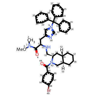 CON(C)C(=O)C(Cc1cn(C(c2ccccc2)(c2ccccc2)c2ccccc2)cn1)NC[C@H]1C[C@@H]2CCCC[C@H]2CN1C(=O)c1ccc(Br)cc1